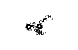 CCCCOc1ccc(S(=O)(=O)[O-])c(OC(=O)c2ccccc2)c1.[Na+]